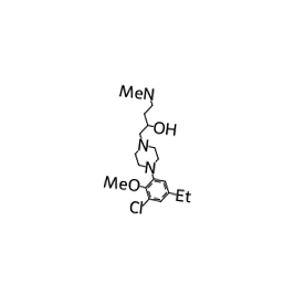 CCc1cc(Cl)c(OC)c(N2CCN(CC(O)CCNC)CC2)c1